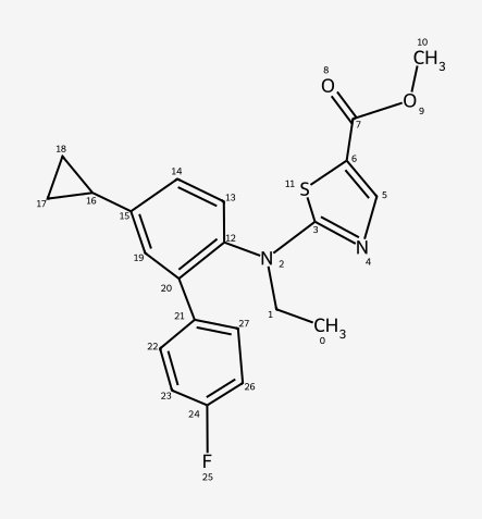 CCN(c1ncc(C(=O)OC)s1)c1ccc(C2CC2)cc1-c1ccc(F)cc1